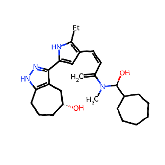 C=C(/C=C\c1cc(-c2n[nH]c3c2C[C@H](O)CCC3)[nH]c1CC)N(C)C(O)C1CCCCCC1